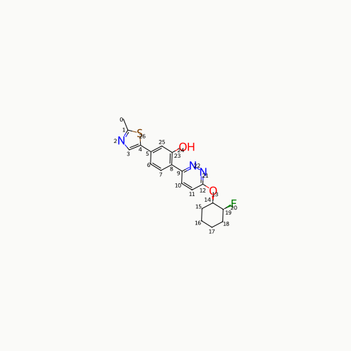 Cc1ncc(-c2ccc(-c3ccc(O[C@@H]4CCCC[C@@H]4F)nn3)c(O)c2)s1